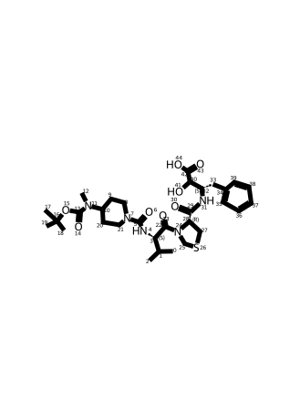 CC(C)[C@H](NC(=O)N1CCC(N(C)C(=O)OC(C)(C)C)CC1)C(=O)N1CSC[C@H]1C(=O)N[C@@H](Cc1ccccc1)C(O)C(=O)O